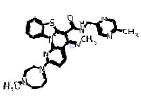 C/N=c1\c(C(=O)NCc2cnc(C)cn2)c2sc3ccccc3n2c2nc(N3CCCN(C)CC3)ccc12